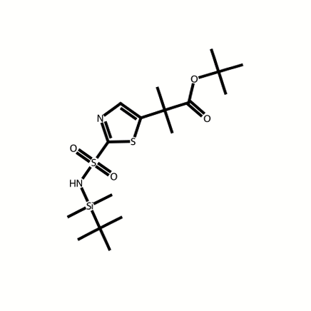 CC(C)(C)OC(=O)C(C)(C)c1cnc(S(=O)(=O)N[Si](C)(C)C(C)(C)C)s1